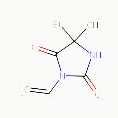 C=CN1C(=O)NC(C)(CC)C1=O